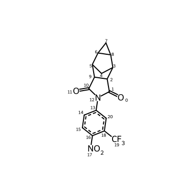 O=C1C2C3CC(C4CC43)C2C(=O)N1c1ccc([N+](=O)[O-])c(C(F)(F)F)c1